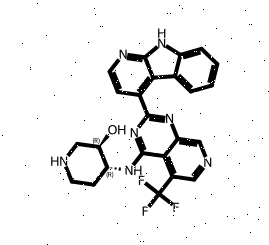 O[C@@H]1CNCC[C@H]1Nc1nc(-c2ccnc3[nH]c4ccccc4c23)nc2cncc(C(F)(F)F)c12